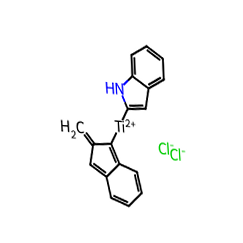 C=C1C=c2ccccc2=[C]1[Ti+2][c]1cc2ccccc2[nH]1.[Cl-].[Cl-]